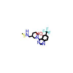 CSNCC1CCCN(c2ncnc3ccc(C(F)(F)F)c(O)c23)C1